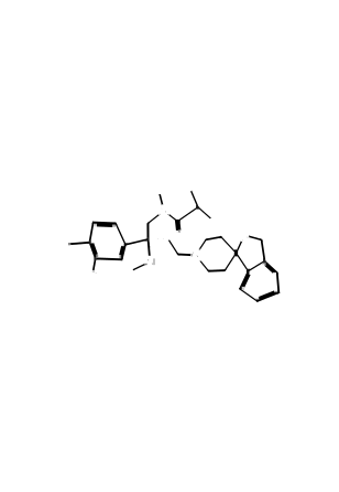 CN[C@](CCN1CCC2(CC1)SCc1ccccc12)(CN(C)C(=O)C(C)C)c1ccc(Cl)c(Cl)c1